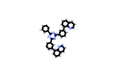 c1ccc(-c2nc(-c3cccc(-c4cccc5cccnc45)c3)nc(-c3cccc(-c4cccc5cccnc45)c3)n2)cc1